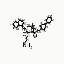 NCCCC[C@@H]1C(=O)N(Cc2cccc3ccccc23)CC[C@H]2CN(Cc3ccc(-c4ccccc4)cc3)C(=O)N21